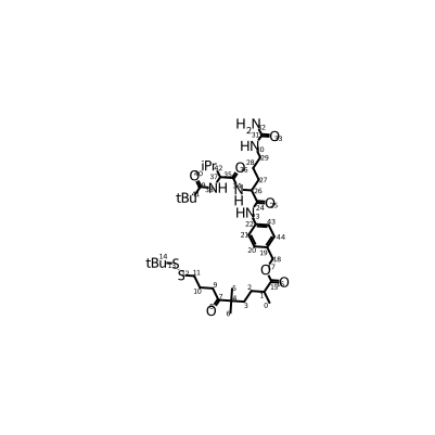 CC(CCC(C)(C)C(=O)CCCSSC(C)(C)C)C(=O)OCc1ccc(NC(=O)C(CCCNC(N)=O)NC(=O)C(NC(=O)C(C)(C)C)C(C)C)cc1